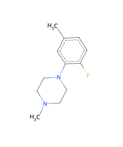 Cc1ccc(F)c(N2CCN(C)CC2)c1